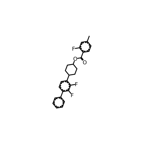 Cc1ccc(C(=O)OC2CCC(c3ccc(-c4ccccc4)c(F)c3F)CC2)c(F)c1